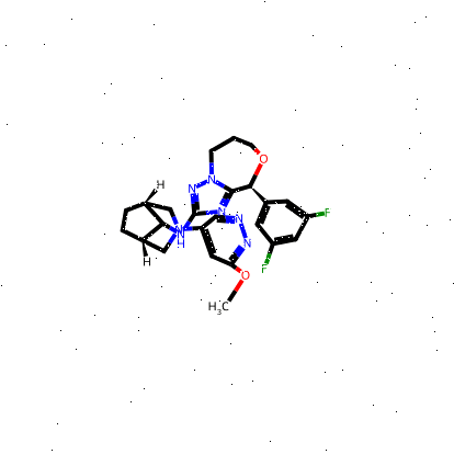 COc1cc(N2C[C@H]3CC[C@@H](C2)C3Nc2nc3n(n2)CCCO[C@H]3c2cc(F)cc(F)c2)cnn1